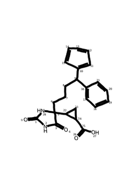 O=C1NC(=O)C(CCCC(c2ccccc2)c2ccccc2)(C2CC2C(=O)O)N1